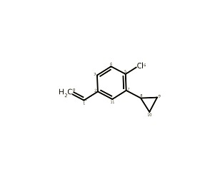 C=[C]c1ccc(Cl)c(C2CC2)c1